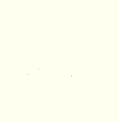 CCCCNC(=O)N1CCC(CN2C(=N)NC(CCCC)(CCCC)C2=O)CC1